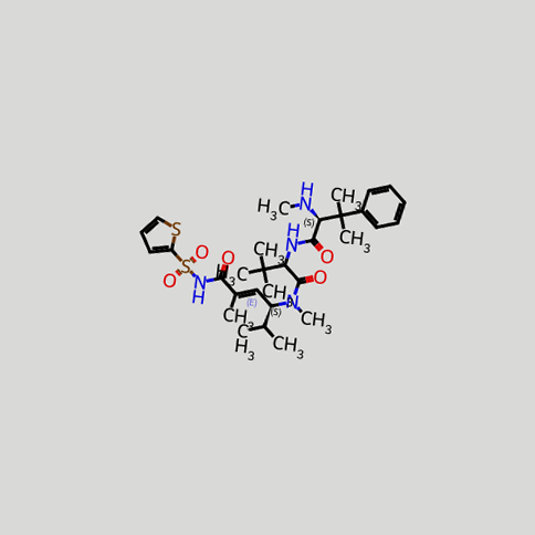 CN[C@H](C(=O)NC(C(=O)N(C)[C@H](/C=C(\C)C(=O)NS(=O)(=O)c1cccs1)C(C)C)C(C)(C)C)C(C)(C)c1ccccc1